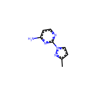 Cc1ccn(-c2nccc(N)n2)n1